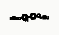 CCCCCCCCCCc1ccc(-c2ccc(OCC(C)CC)cc2)nc1